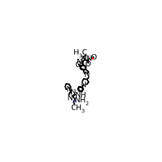 CC/C=C(\N)c1ncc(N2CCCCC2)nc1Nc1ccc(N2CCC(CN3Cc4cc5onc(C(CCC)C(=O)NC=O)c5cc4C3)CC2)cc1